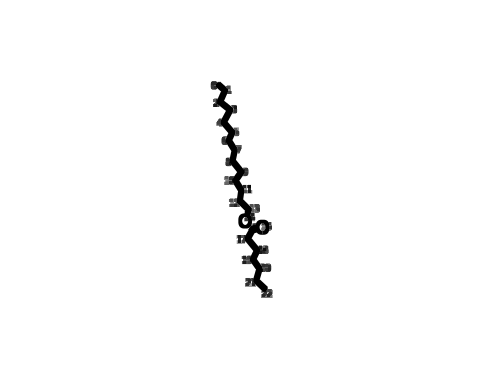 CCCCCCCCCCCCCCOC(=O)CCCCCC